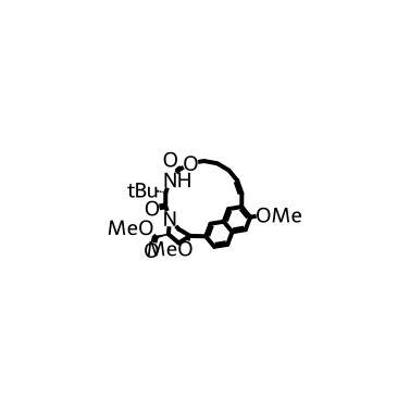 COC(=O)[C@@H]1C[C@]2(OC)CN1C(=O)[C@H](C(C)(C)C)NC(=O)OCCC/C=C\c1cc3cc2ccc3cc1OC